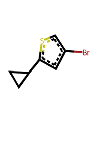 Brc1csc(C2[CH]C2)c1